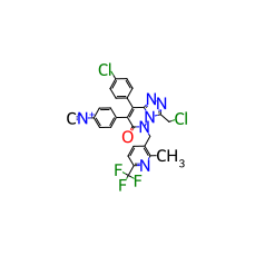 [C-]#[N+]c1ccc(-c2c(-c3ccc(Cl)cc3)c3nnc(CCl)n3n(Cc3ccc(C(F)(F)F)nc3C)c2=O)cc1